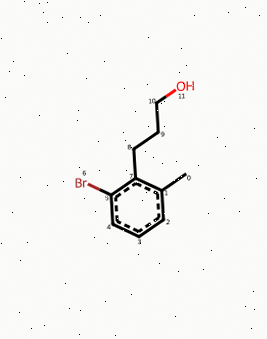 Cc1cccc(Br)c1CCCO